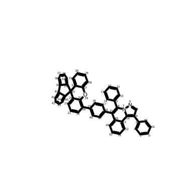 c1ccc(-c2cnn3c(-c4ccccc4)c(-c4ccc(-c5cccc6c5Oc5ccccc5C65c6ccccc6-c6ccccc65)cc4)c4ccccc4c23)cc1